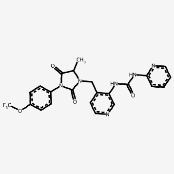 CC1C(=O)N(c2ccc(OC(F)(F)F)cc2)C(=O)N1Cc1ccncc1NC(=O)Nc1ccccn1